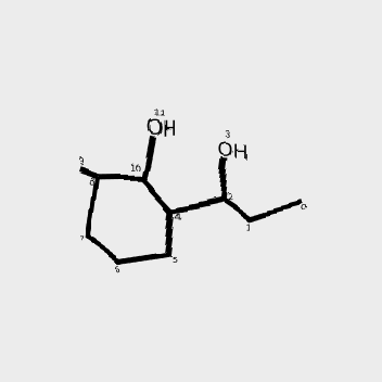 CCC(O)C1CCCC(C)C1O